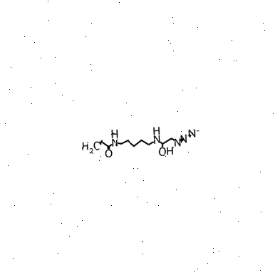 C=CC(=O)NCCCCCNC(O)CN=[N+]=[N-]